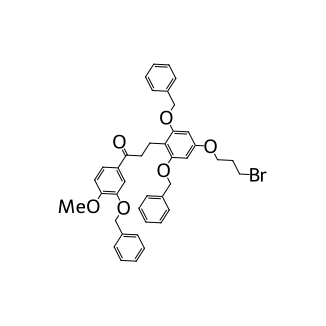 COc1ccc(C(=O)CCc2c(OCc3ccccc3)cc(OCCCBr)cc2OCc2ccccc2)cc1OCc1ccccc1